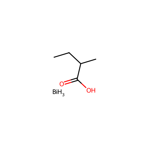 CCC(C)C(=O)O.[BiH3]